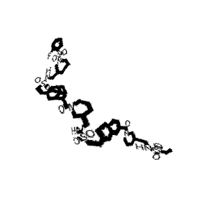 C=CS(=O)(=O)NCC1CCCN(C(=O)c2ccc3ccc(/C=C\S(=O)(=O)NCC4CCCN(C(=O)C5C6CC7CC5CC(/C=C\S(=O)(=O)NCC5CCCN(S(=O)(=O)c8ccccc8F)C5)(C7)C6)C4)cc3c2)C1